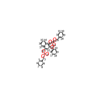 O=C(OCc1ccccc1)Oc1cc(Oc2ccccc2)c(OC(=O)OCc2ccccc2)c2ccccc12